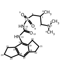 CC(CN(C)C)CS(=O)(=O)NC(=O)Nc1c2c(cc3c1CCC3)CCC2